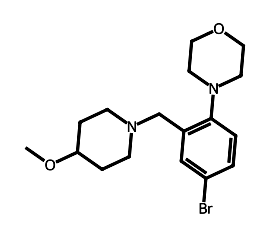 COC1CCN(Cc2cc(Br)ccc2N2CCOCC2)CC1